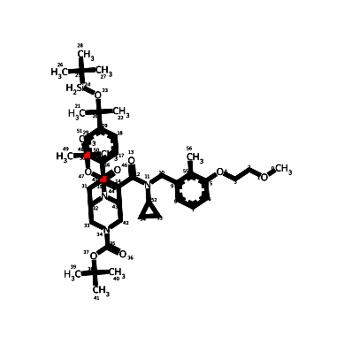 COCCOc1cccc(CN(C(=O)C2=C(c3ccc(C(C)(C)O[SiH2]C(C)(C)C)cc3)CC3CN(C(=O)OC(C)(C)C)CC2N3C(=O)OC(C)(C)C)C2CC2)c1C